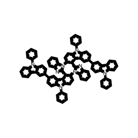 c1ccc(-n2c3ccccc3c3cc(-c4ccc5c(c4)c4c6c(ccc4n5-c4ccccc4)n4c5ccccc5nc4c4c5c7cc(-c8ccc9c(c8)c8ccccc8n9-c8ccccc8)ccc7n(-c7ccccc7)c5ccc4n4c5ccccc5nc64)ccc32)cc1